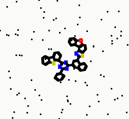 c1ccc(-c2nc(-c3cc(-c4nc5c(ccc6oc7ccccc7c65)s4)c4ccccc4c3)nc(-c3cccc4c3sc3ccccc34)n2)cc1